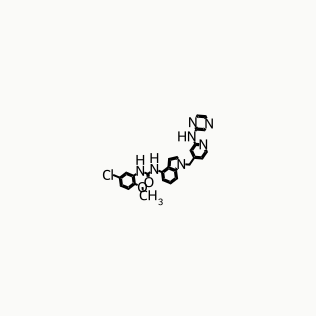 COc1ccc(Cl)cc1NC(=O)Nc1cccc2c1ccn2Cc1ccnc(Nc2cnccn2)c1